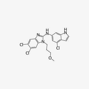 COCCCn1c(Nc2cc(Cl)c3cc[nH]c3c2)nc2cc(Cl)c(Cl)cc21